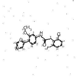 COc1cc(NC(=O)Cc2c(F)cccc2Cl)ccc1-c1cnco1